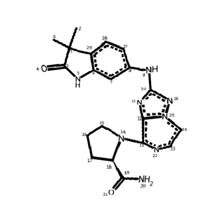 CC1(C)C(=O)Nc2cc(Nc3nc4c(N5CCC[C@@H]5C(N)=O)nccn4n3)ccc21